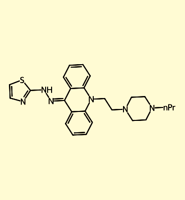 CCCN1CCN(CCn2c3ccccc3c(=NNc3nccs3)c3ccccc32)CC1